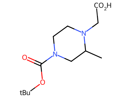 CC1CN(C(=O)OC(C)(C)C)CCN1CC(=O)O